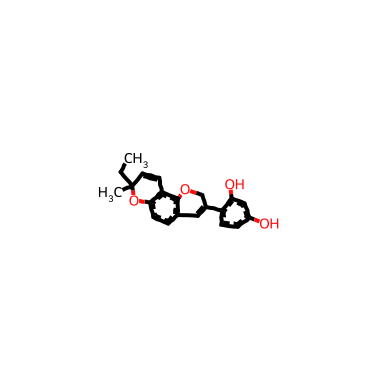 CCC1(C)C=Cc2c(ccc3c2OCC(c2ccc(O)cc2O)=C3)O1